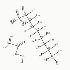 C=C(C)C(=O)OCC.NS(=O)(=O)C(F)(F)C(F)(F)C(F)(F)C(F)(F)C(F)(F)C(F)(F)C(F)(F)C(F)(F)F